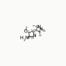 COc1cc(-c2c(C)nn(C)c2C)ncc1N